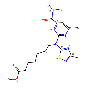 COC(=O)CCCCCCN(c1nc(C)cc(C(=O)N(C)C)n1)c1nc(C)ns1